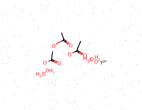 CC(=O)[O-].CC(=O)[O-].CC(=O)[O-].O.O.O.O.[Y+3]